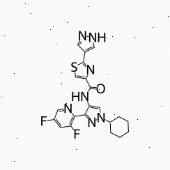 O=C(Nc1cn(C2CCCCC2)nc1-c1ncc(F)cc1F)c1csc(-c2cn[nH]c2)n1